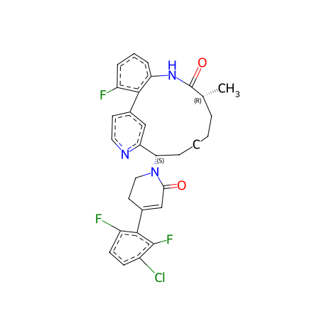 C[C@@H]1CCCC[C@H](N2CCC(c3c(F)ccc(Cl)c3F)=CC2=O)c2cc(ccn2)-c2c(F)cccc2NC1=O